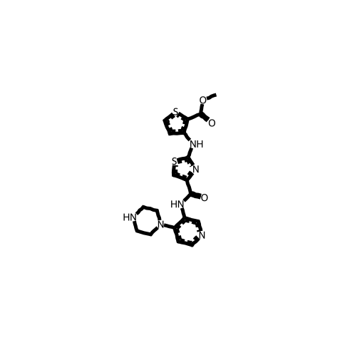 COC(=O)c1sccc1Nc1nc(C(=O)Nc2cnccc2N2CCNCC2)cs1